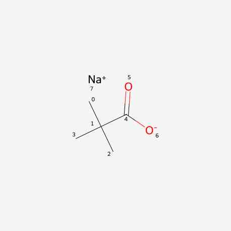 CC(C)(C)C(=O)[O-].[Na+]